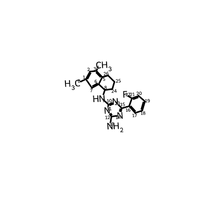 Cc1cc(C)c2c(c1)C(Nc1nc(N)nc(-c3ccccc3F)n1)CCC2